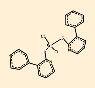 [Cl][Sn]([Cl])([S]c1ncccc1-c1ccccc1)[S]c1ncccc1-c1ccccc1